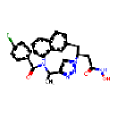 CC(NC(=O)c1ccc(F)cc1)c1cn(C(CC(=O)NO)Cc2ccc3ccccc3c2)nn1